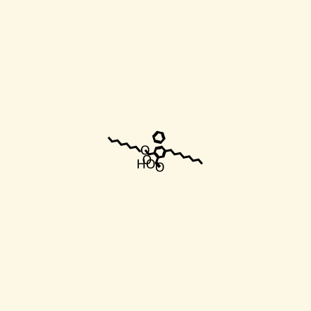 CCCCCCCCOC(=O)c1ccc(CCCCCCCC)cc1C(=O)O.c1ccccc1